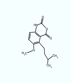 COc1ccc2[nH]c(=O)oc(=O)c2c1CCC(C)C